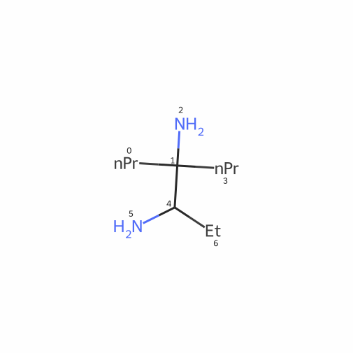 CCCC(N)(CCC)C(N)CC